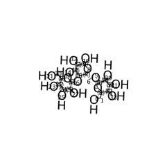 OC[C@H]1O[C@H](OC[C@H]2O[C@@H](O)[C@@H](O)[C@@H](O)[C@@H]2O[C@@H]2O[C@H](CO)[C@@H](O)[C@H](O)[C@@H]2O)[C@H](O)[C@@H](O)[C@H]1O